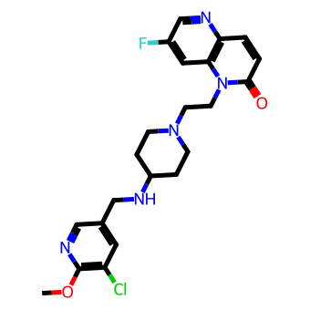 COc1ncc(CNC2CCN(CCn3c(=O)ccc4ncc(F)cc43)CC2)cc1Cl